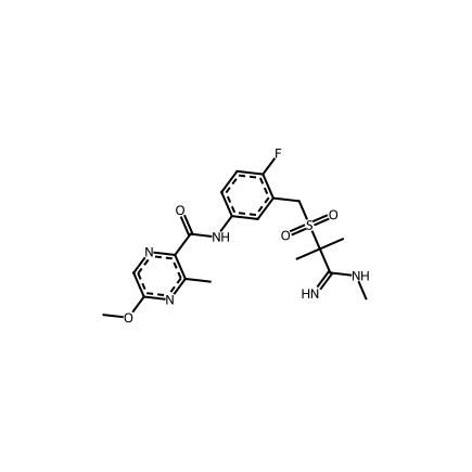 CNC(=N)C(C)(C)S(=O)(=O)Cc1cc(NC(=O)c2ncc(OC)nc2C)ccc1F